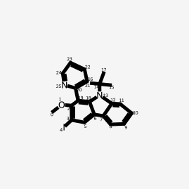 COc1c(I)cc2c3ccccc3n(C(C)(C)C)c2c1-c1ccccn1